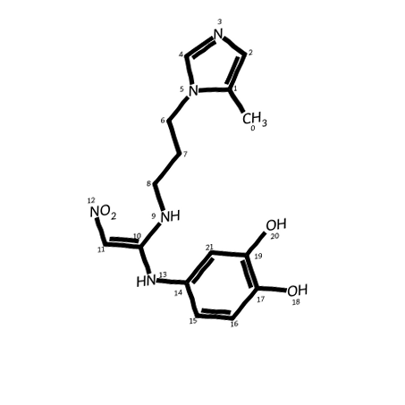 Cc1cncn1CCCN/C(=C\[N+](=O)[O-])Nc1ccc(O)c(O)c1